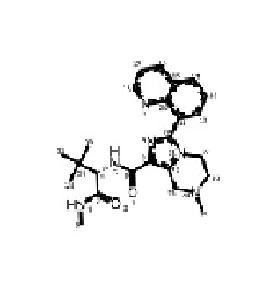 CNC(=O)[C@@H](NC(=O)c1nc(-c2cccc3cccnc23)n2c1CN(C)CC2)C(C)(C)C